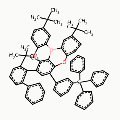 CC(C)(C)c1ccc2c(c1)B1c3cc(C(C)(C)C)ccc3Oc3c(-c4c(-c5ccccc5)cccc4C(C)(C)C)cc(-c4cccc([Si](c5ccccc5)(c5ccccc5)c5ccccc5)c4)c(c31)O2